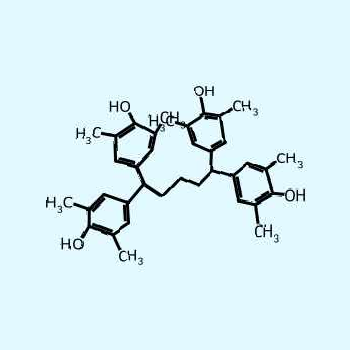 Cc1cc(C(CCCC(c2cc(C)c(O)c(C)c2)c2cc(C)c(O)c(C)c2)c2cc(C)c(O)c(C)c2)cc(C)c1O